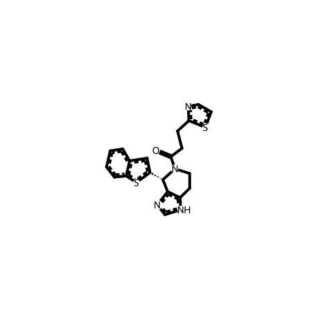 O=C(CCc1nccs1)N1CCc2[nH]cnc2[C@@H]1c1cc2ccccc2s1